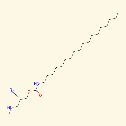 CCCCCCCCCCCCCCCCCCNC(=O)OCC(C#N)CNC